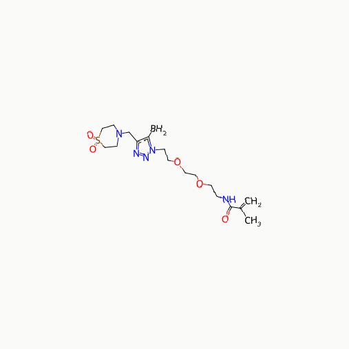 Bc1c(CN2CCS(=O)(=O)CC2)nnn1CCOCCOCCNC(=O)C(=C)C